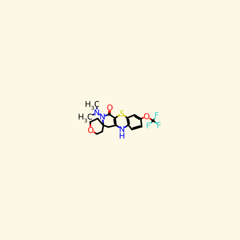 CN(C)N1C(=O)C2=C(CC13CCOCC3)Nc1ccc(OC(F)(F)F)cc1S2